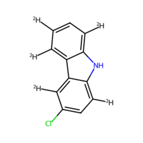 [2H]c1cc([2H])c2[nH]c3c([2H])cc(Cl)c([2H])c3c2c1[2H]